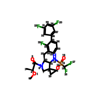 CO[C@@H](C)C(=O)N1CC2(CC2)[C@H](NS(=O)(=O)C(F)F)[C@@H]1Cc1cccc(-c2cc(F)cc(F)c2)c1F